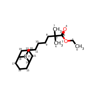 CCOC(=O)C(C)(C)CCCCCB1C2CCCC1CCC2